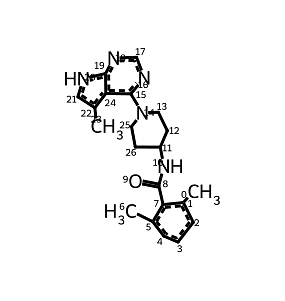 Cc1cccc(C)c1C(=O)NC1CCN(c2ncnc3[nH]cc(C)c23)CC1